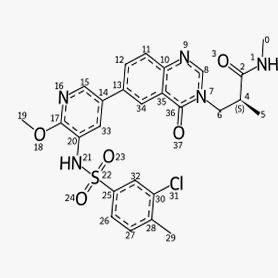 CNC(=O)[C@@H](C)Cn1cnc2ccc(-c3cnc(OC)c(NS(=O)(=O)c4ccc(C)c(Cl)c4)c3)cc2c1=O